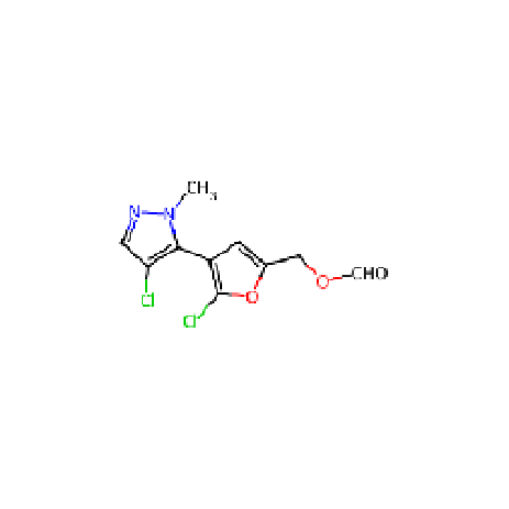 Cn1ncc(Cl)c1-c1cc(COC=O)oc1Cl